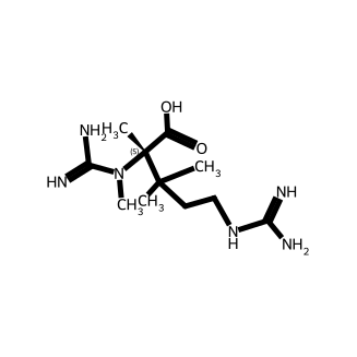 CN(C(=N)N)[C@](C)(C(=O)O)C(C)(C)CCNC(=N)N